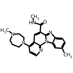 CNC(=O)c1cc2c(N3CCCN(C)CC3)ccnc2n2c1nc1ccc(C)cc12